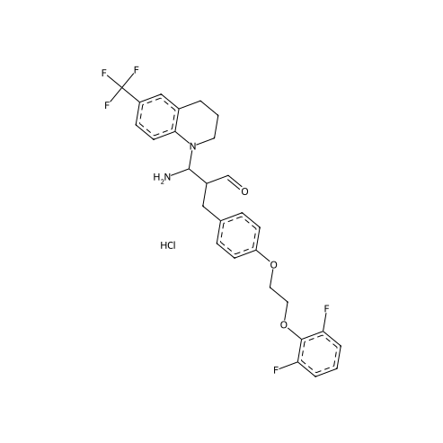 Cl.NC(C(C=O)Cc1ccc(OCCOc2c(F)cccc2F)cc1)N1CCCc2cc(C(F)(F)F)ccc21